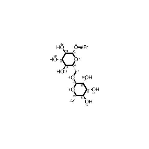 CC(C)O[C@@H]1O[C@H](CO[C@@H]2O[C@@H](C)[C@H](O)[C@@H](O)[C@H]2O)[C@@H](O)[C@H](O)[C@H]1O